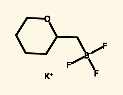 F[B-](F)(F)CC1CCCCO1.[K+]